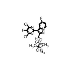 CC(C)(C)[Si](C)(C)OCc1nn2ccc(F)cc2c1-c1nc(Cl)c(F)c(Cl)n1